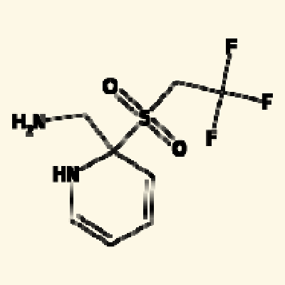 NCC1(S(=O)(=O)CC(F)(F)F)C=CC=CN1